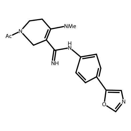 CNC1=C(C(=N)Nc2ccc(-c3cnco3)cc2)CN(C(C)=O)CC1